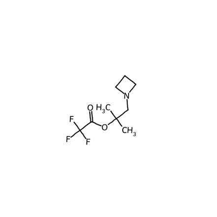 CC(C)(CN1CCC1)OC(=O)C(F)(F)F